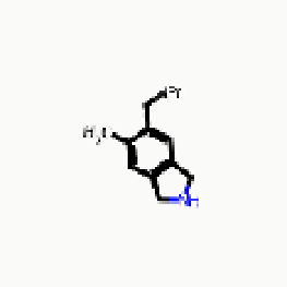 Cc1cc2c(cc1CC(C)C)CNC2